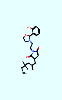 C=C(CC1CC(=O)N(CCN2CCOC2c2ccccc2O)C1=O)CC(C)(C)CC(C)(C)C